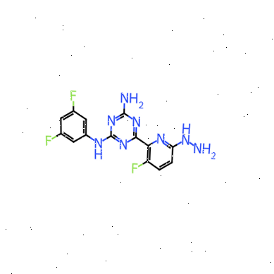 NNc1ccc(F)c(-c2nc(N)nc(Nc3cc(F)cc(F)c3)n2)n1